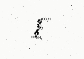 N=C(N)N1CCC(CCN2CC(CN3CCN(CC(=O)O)CC3)OC2=O)CC1